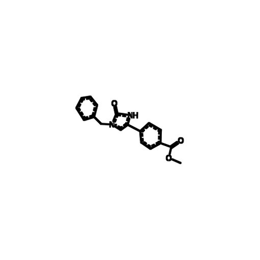 COC(=O)c1ccc(-c2cn(Cc3ccccc3)c(=O)[nH]2)cc1